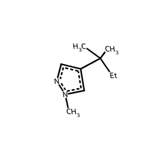 CCC(C)(C)c1cnn(C)c1